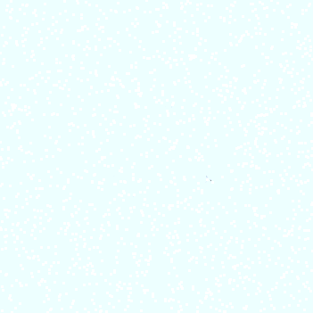 CN1CCC2(c3ccco3)Oc3ccccc3C2C1